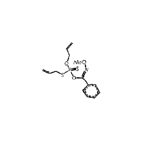 C=CCOP(=S)(OC(=NOC)c1ccccc1)SCC=C